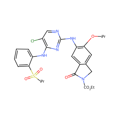 CCOC(=O)N1Cc2cc(OC(C)C)c(Nc3ncc(Cl)c(Nc4ccccc4S(=O)(=O)C(C)C)n3)cc2C1=O